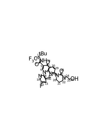 CC(C)(C)[C@@H](NC(=O)c1cn(-c2ncc(F)cc2F)c2nc(N3CCCN(CCO)C3=O)ccc2c1=O)C(F)(F)F